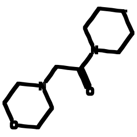 O=C(CN1CCOCC1)N1CC[CH]CC1